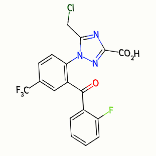 O=C(O)c1nc(CCl)n(-c2ccc(C(F)(F)F)cc2C(=O)c2ccccc2F)n1